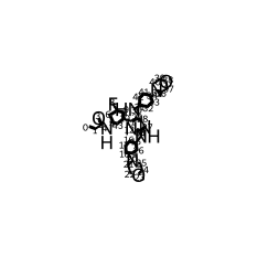 C=CC(=O)Nc1cc(F)cc(-c2nc(Nc3cccc(N4CCOCC4)c3)ncc2Nc2ccc(N3CCOCC3)cc2)c1